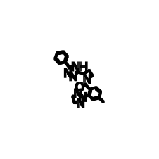 Cc1ccc(C(=O)N2CCC2c2nnc(-c3ccccc3)[nH]2)c(-n2nccn2)c1